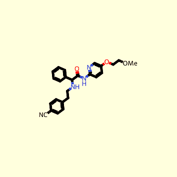 COCCOc1ccc(NC(=O)C(NCCc2ccc(C#N)cc2)c2ccccc2)nc1